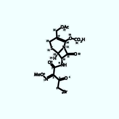 CO/N=C(/C(=O)CBr)C(=O)N[C@@H]1C(=O)N2C(OC(=O)O)=C(COC(C)=O)CS[C@H]12